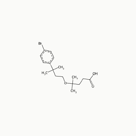 CC(C)(CCC(=O)O)OCCC(C)(C)c1ccc(Br)cc1